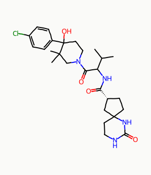 CC(C)C(NC(=O)[C@@H]1CCC2(CCNC(=O)N2)C1)C(=O)N1CCC(O)(c2ccc(Cl)cc2)C(C)(C)C1